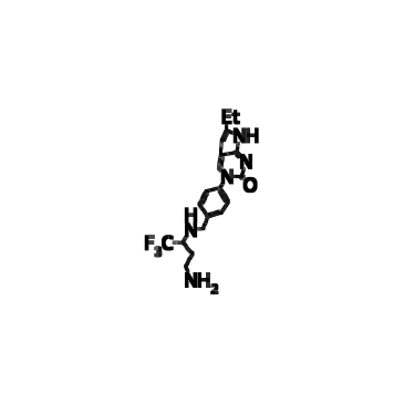 CCc1cc2cn(-c3ccc(CNC(CCN)C(F)(F)F)cc3)c(=O)nc2[nH]1